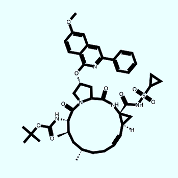 COc1ccc2c(O[C@@H]3CC4C(=O)N[C@]5(C(=O)NS(=O)(=O)C6CC6)C[C@H]5/C=C\CC[C@H](C)C[C@@H](C)[C@H](NC(=O)OC(C)(C)C)C(=O)N4C3)nc(-c3ccccc3)cc2c1